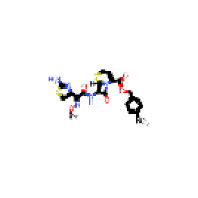 CC(C)ON=C(C(=O)NC1C(=O)N2C(C(=O)OCc3ccc([N+](=O)[O-])cc3)=CCS[C@@H]12)c1csc(N)n1